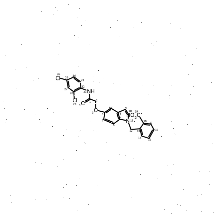 O=C(COc1ccc2c(ccn2Cc2ccccc2C(=O)O)c1)Nc1ccc(Cl)cc1Cl